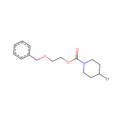 CCC1CCN(C(=O)OCCOCc2ccccc2)CC1